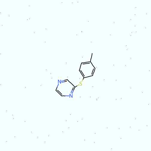 Cc1ccc(Sc2cnccn2)cc1